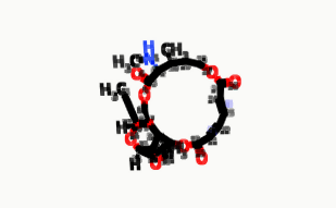 CN[C@H]1C(=O)OC[C@]23CCC(C)=C[C@H]2O[C@@H]2C[C@@H](OC(=O)/C=C\C=C\C(=O)OCC[C@H]1C)[C@@]3(C)[C@]21CO1